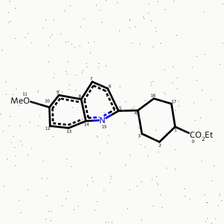 CCOC(=O)C1CCC(c2ccc3cc(OC)ccc3n2)CC1